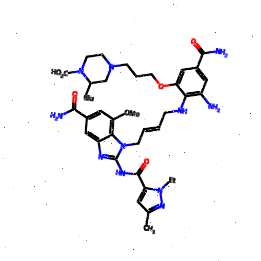 CCn1nc(C)cc1C(=O)Nc1nc2cc(C(N)=O)cc(OC)c2n1CC=CCNc1c(N)cc(C(N)=O)cc1OCCCN1CCN(C(=O)O)C(C(C)(C)C)C1